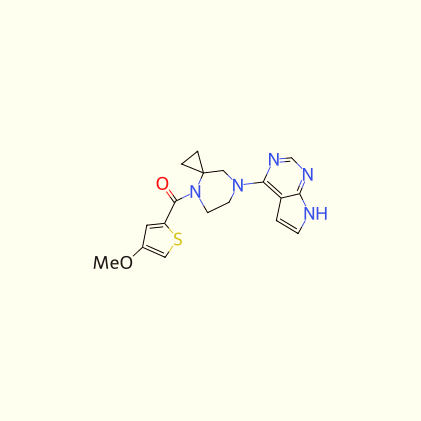 COc1csc(C(=O)N2CCN(c3ncnc4[nH]ccc34)CC23CC3)c1